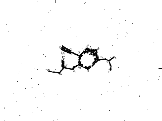 C#Cc1ccc(C(C)C)cc1CC(=S)CC